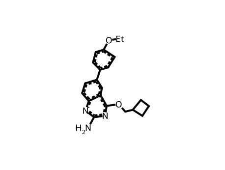 CCOc1ccc(-c2ccc3nc(N)nc(OCC4CCC4)c3c2)cc1